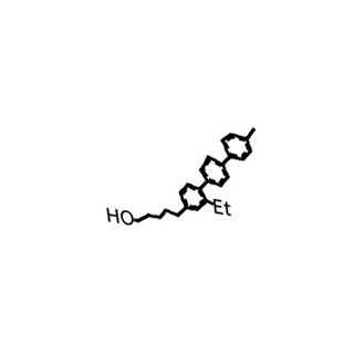 CCc1cc(CCCCCO)ccc1-c1ccc(-c2ccc(C)cc2)cc1